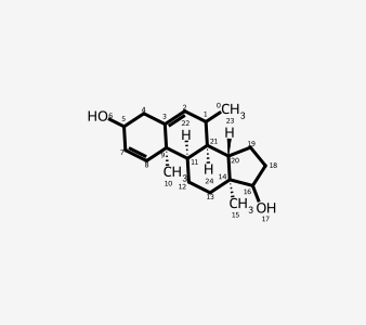 CC1C=C2CC(O)C=C[C@]2(C)[C@@H]2CC[C@]3(C)C(O)CC[C@H]3[C@H]12